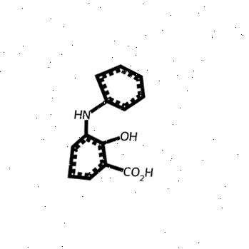 O=C(O)c1cccc(Nc2ccccc2)c1O